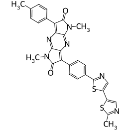 Cc1ccc(C2=c3nc4c(nc3N(C)C2=O)=C(c2ccc(-c3ncc(-c5cnc(C)s5)s3)cc2)C(=O)N4C)cc1